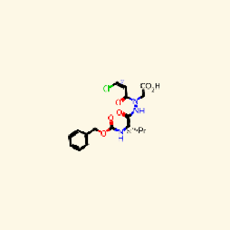 CC(C)[C@H](NC(=O)OCc1ccccc1)C(=O)NN(CC(=O)O)C(=O)/C=C\Cl